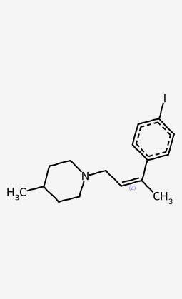 C/C(=C/CN1CCC(C)CC1)c1ccc(I)cc1